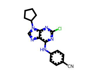 N#Cc1ccc(Nc2nc(Cl)nc3c2ncn3C2CCCC2)cc1